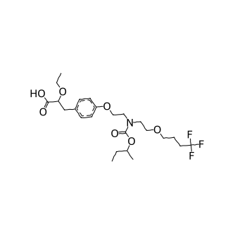 CCOC(Cc1ccc(OCCN(CCOCCCC(F)(F)F)C(=O)OC(C)CC)cc1)C(=O)O